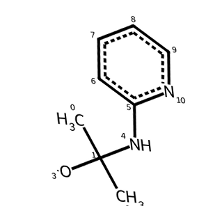 CC(C)([O])Nc1ccccn1